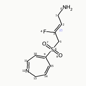 NC/C=C(\F)CS(=O)(=O)C1=CC=NCC=C1